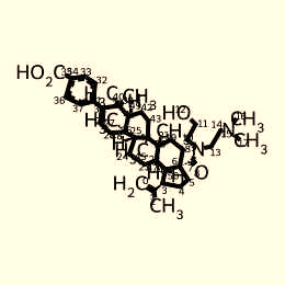 C=C(C)[C@@H]1CC[C@]2(C(=O)N(CCO)CCN(C)C)CC[C@]3(C)[C@H](CC[C@@H]4[C@@]5(C)CC=C(c6ccc(C(=O)O)cc6)C(C)(C)[C@@H]5CC[C@]43C)[C@@H]12